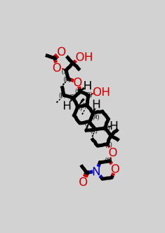 CC(=O)O[C@@H]([C@H]1C[C@@H](C)[C@H]2[C@H](O1)[C@H](O)[C@@]1(C)[C@@H]3CC[C@H]4C(C)(C)[C@@H](O[C@H]5CN(C(C)=O)CCO5)CC[C@@]45C[C@@]35CC[C@]21C)C(C)(C)O